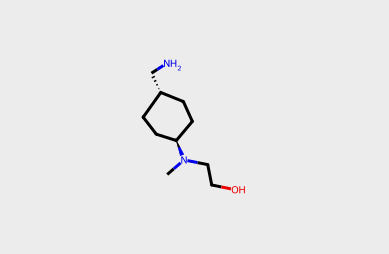 CN(CCO)[C@H]1CC[C@H](CN)CC1